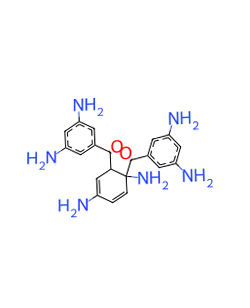 NC1=CC(C(=O)c2cc(N)cc(N)c2)C(N)(C(=O)c2cc(N)cc(N)c2)C=C1